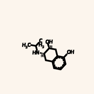 CC(C)N[C@H]1Cc2cccc(O)c2C[C@@H]1O